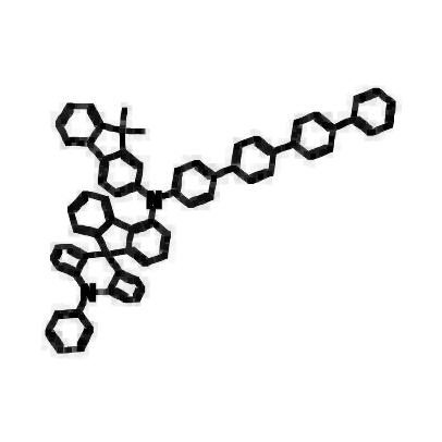 CC1(C)c2ccccc2-c2ccc(N(c3ccc(-c4ccc(-c5ccc(-c6ccccc6)cc5)cc4)cc3)c3cccc4c3-c3ccccc3C43c4ccccc4N(c4ccccc4)c4ccccc43)cc21